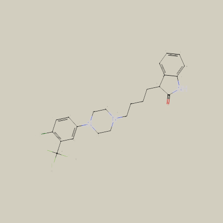 O=C1Nc2ccccc2C1CCCCN1CCN(c2ccc(Cl)c(C(F)(F)F)c2)CC1